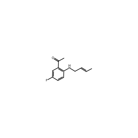 C/C=C/CNc1ccc(F)cc1C(C)=O